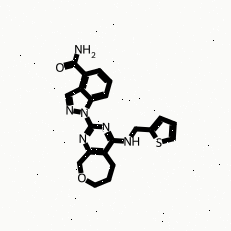 NC(=O)c1cccc2c1cnn2-c1nc2c(c(NCc3cccs3)n1)CCCOC2